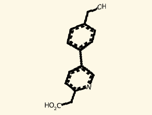 O=C(O)Cc1ccc(-c2ccc(CO)cc2)cn1